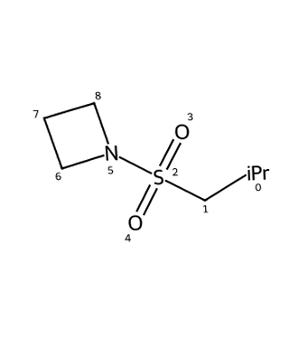 CC(C)CS(=O)(=O)N1CCC1